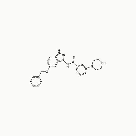 O=C(Nc1n[nH]c2ccc(OCc3ccccc3)cc12)c1cccc(N2CCNCC2)c1